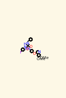 COc1cc2nccc(Oc3ccc(NC(=O)C4(C(=O)Nc5ccc(I)cc5)CN(Cc5ccccc5)C4)cc3)c2cc1OC